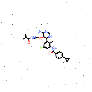 C=C(C)C(=O)NCCOc1c(N)ncnc1-c1cc(F)cc(NC(=O)c2ccc(C3CC3)cc2F)c1C